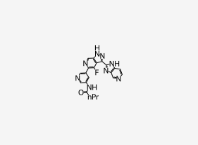 CCCC(=O)Nc1cncc(-c2ncc3[nH]nc(-c4nc5cnccc5[nH]4)c3c2F)c1